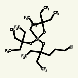 FC(F)(F)CC(CCCCl)(CC(F)(F)F)O[Si](CC(F)(F)F)(OC(CC(F)(F)F)(CC(F)(F)F)CC(F)(F)F)OC(CC(F)(F)F)(CC(F)(F)F)CC(F)(F)F